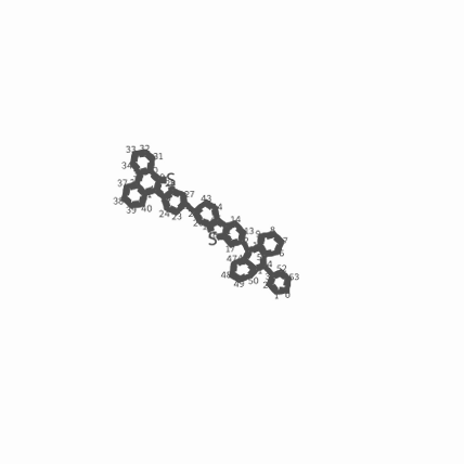 c1ccc(-c2c3ccccc3c(-c3ccc4c(c3)sc3cc(-c5ccc6c(c5)sc5c7ccccc7c7ccccc7c65)ccc34)c3ccccc23)cc1